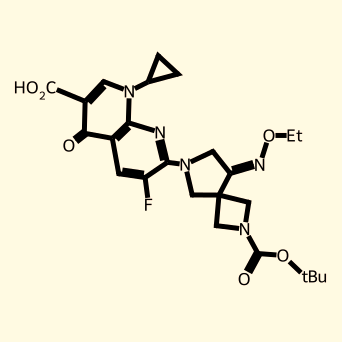 CCON=C1CN(c2nc3c(cc2F)c(=O)c(C(=O)O)cn3C2CC2)CC12CN(C(=O)OC(C)(C)C)C2